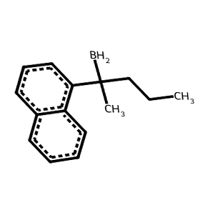 BC(C)(CCC)c1cccc2ccccc12